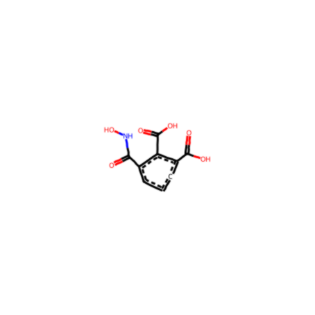 O=C(O)c1cccc(C(=O)NO)c1C(=O)O